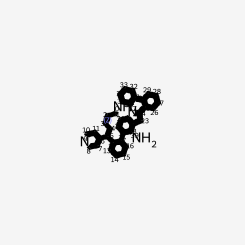 NC/C=C\C=C(c1ccncc1)c1ccccc1-c1ccc2c(cc3c4ccccc4c4ccccc4n23)c1N